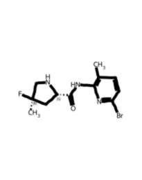 Cc1ccc(Br)nc1NC(=O)[C@@H]1C[C@@](C)(F)CN1